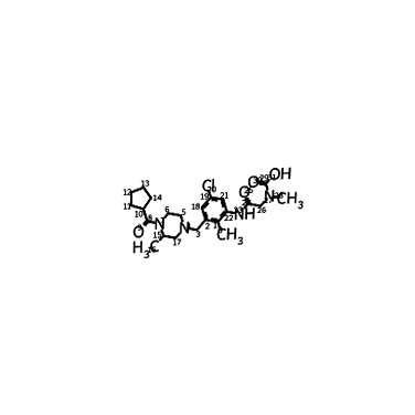 Cc1c(CN2CCN(C(=O)C3CCCC3)C(C)C2)cc(Cl)cc1NC(=O)CN(C)C(=O)O